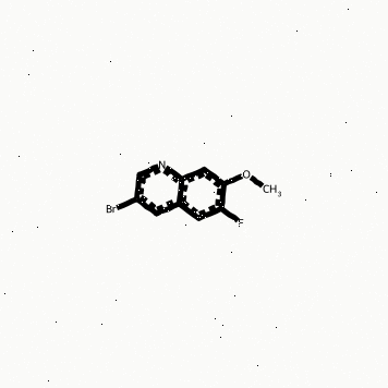 COc1cc2ncc(Br)cc2cc1F